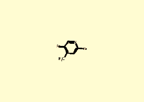 Fc1cnc(Br)cc1C(F)(F)F